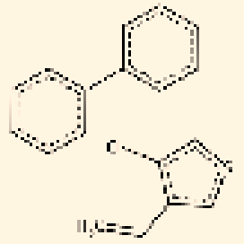 C=Cc1cscc1Cl.c1ccc(-c2ccccc2)cc1